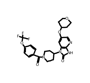 O=C(c1ccc(OC(F)(F)F)cc1)N1CCC(n2c(=O)[nH]c3ncc(OC4CCOCC4)cc32)CC1